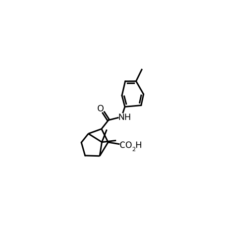 Cc1ccc(NC(=O)C2C(C(=O)O)C3CCC2C3(C)C)cc1